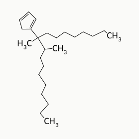 CCCCCCCCC(C)C(C)(CCCCCCCC)C1=CC=CC1